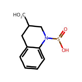 O=C(O)C1Cc2ccccc2N(S(=O)O)C1